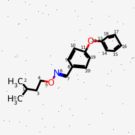 CC(C)CCON=Cc1ccc(Oc2ccccc2)cc1